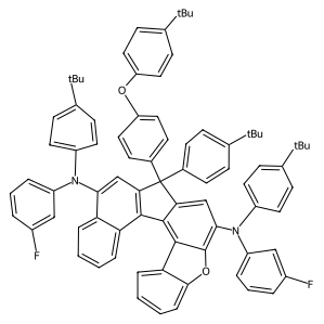 CC(C)(C)c1ccc(Oc2ccc(C3(c4ccc(C(C)(C)C)cc4)c4cc(N(c5ccc(C(C)(C)C)cc5)c5cccc(F)c5)c5ccccc5c4-c4c3cc(N(c3ccc(C(C)(C)C)cc3)c3cccc(F)c3)c3oc5ccccc5c43)cc2)cc1